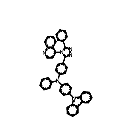 c1ccc(-c2nnc(-c3ccc(N(c4ccccc4)c4ccc(-n5c6ccccc6c6ccccc65)cc4)cc3)n2-c2ccnc3ccccc23)cc1